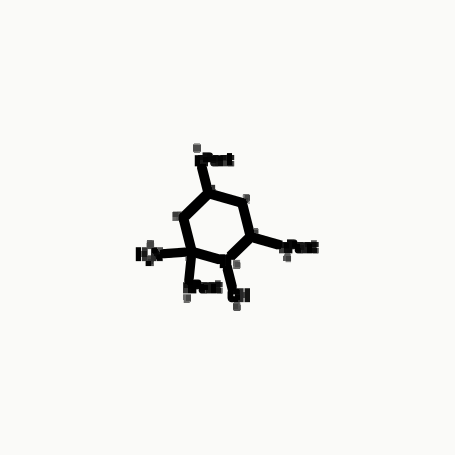 CCCCCC1CC(CCCCC)N(O)C(N)(CCCCC)C1